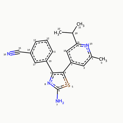 Cc1cc(-c2sc(N)nc2-c2cccc(C#N)c2)cc(C(C)C)n1